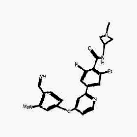 CCc1cc(-c2cc(Oc3ccc(C=N)c(NC)c3)ccn2)cc(F)c1C(=O)NC1CN(C)C1